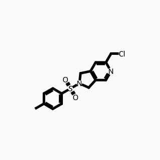 Cc1ccc(S(=O)(=O)N2Cc3cnc(CCl)cc3C2)cc1